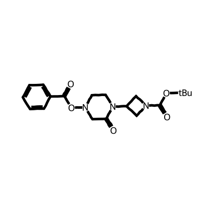 CC(C)(C)OC(=O)N1CC(N2CCN(OC(=O)c3ccccc3)CC2=O)C1